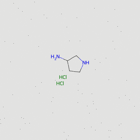 Cl.Cl.NC1CCNC1